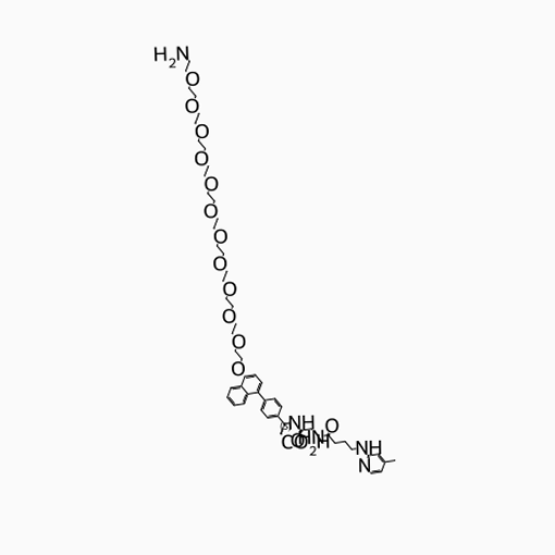 Cc1ccnc(NCCCC(=O)NCC(=O)N[C@@H](CC(=O)O)c2ccc(-c3ccc(OCCOCCOCCOCCOCCOCCOCCOCCOCCOCCOCCOCCN)c4ccccc34)cc2)c1